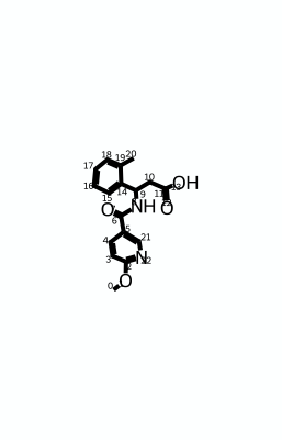 COc1ccc(C(=O)NC(CC(=O)O)c2ccccc2C)cn1